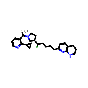 O=C(O)C(c1cccnc1C1CC1)N1CCC(C(F)CCCCc2ccc3c(n2)NCCC3)C1